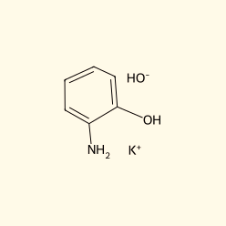 Nc1ccccc1O.[K+].[OH-]